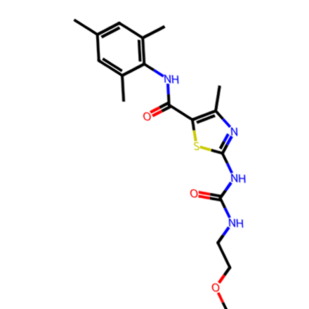 COCCNC(=O)Nc1nc(C)c(C(=O)Nc2c(C)cc(C)cc2C)s1